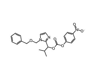 CC(C)C(OC(=O)Oc1ccc([N+](=O)[O-])cc1)c1nccn1COCc1ccccc1